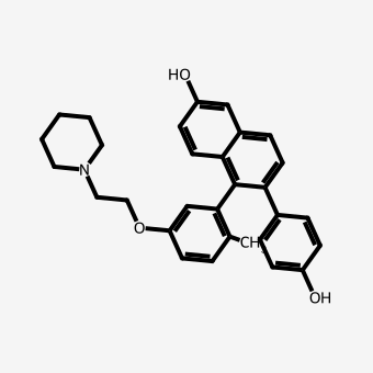 Cc1ccc(OCCN2CCCCC2)cc1-c1c(-c2ccc(O)cc2)ccc2cc(O)ccc12